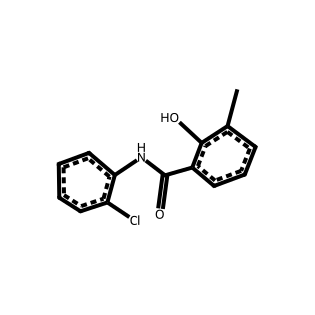 Cc1cccc(C(=O)Nc2ccccc2Cl)c1O